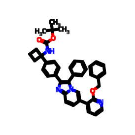 CC(C)(C)OC(=O)NC1(c2ccc(-c3nc4ccc(-c5cccnc5OCc5ccccc5)cn4c3-c3ccccc3)cc2)CCC1